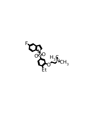 CCc1ccc(S(=O)(=O)n2ccc3cc(F)ccc32)cc1OCCN(C)C